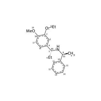 CCOc1cc([C@@H](CC)N[C@@H](C)c2ccccc2)ccc1OC